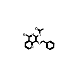 CC(=O)Oc1nc(Br)c2cccnc2c1OCc1ccccc1